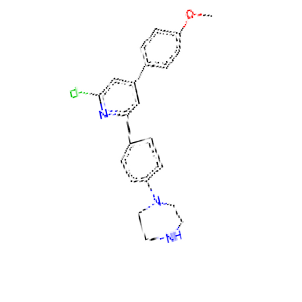 COc1ccc(-c2cc(Cl)nc(-c3ccc(N4CCNCC4)cc3)c2)cc1